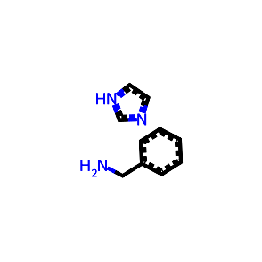 NCc1ccccc1.c1c[nH]cn1